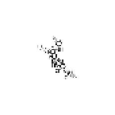 Cn1c(Nc2c(Cl)ccc(CNC(=O)C(C)(C)C)c2Cl)nc2cc(C(=O)Nc3cccc(OC(F)(F)F)c3)c(N3CCC(C(F)(F)F)CC3)nc21